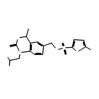 CC1OC(=O)N(CC(F)F)c2ccc(CNS(=O)(=O)c3ccc(Cl)s3)cc21